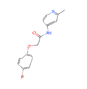 Cc1cc(NC(=O)COc2ccc(Br)cc2)ccn1